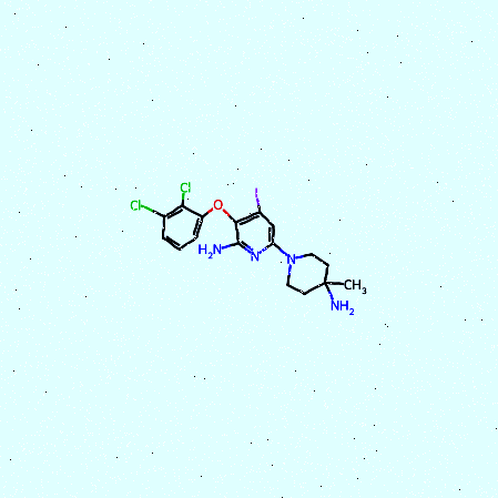 CC1(N)CCN(c2cc(I)c(Oc3cccc(Cl)c3Cl)c(N)n2)CC1